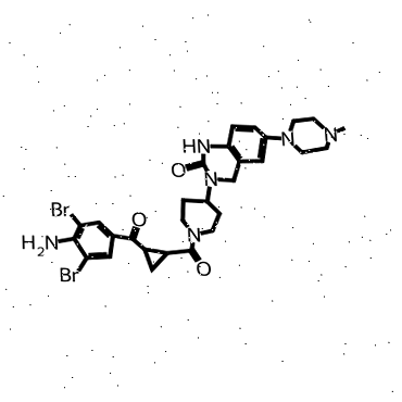 CN1CCN(c2ccc3c(c2)CN(C2CCN(C(=O)C4CC4C(=O)c4cc(Br)c(N)c(Br)c4)CC2)C(=O)N3)CC1